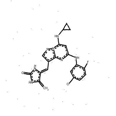 C=c1[nH]c(=O)[nH]/c1=C\c1cnn2c(NC3CC3)cc(Nc3cc(Cl)ccc3F)nc12